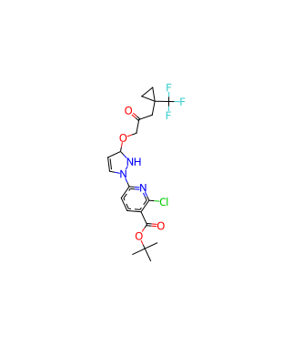 CC(C)(C)OC(=O)c1ccc(N2C=CC(OCC(=O)CC3(C(F)(F)F)CC3)N2)nc1Cl